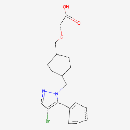 O=C(O)COCC1CCC(Cn2ncc(Br)c2-c2ccccc2)CC1